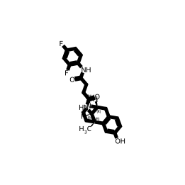 CN1CC[C@]2(C)c3cc(O)ccc3C[C@@H]1[C@@H]2NC(=O)CCC(=O)Nc1ccc(F)cc1F